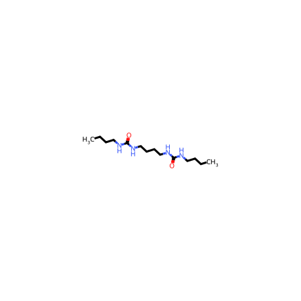 CCCCNC(=O)NCCCCNC(=O)NCCCC